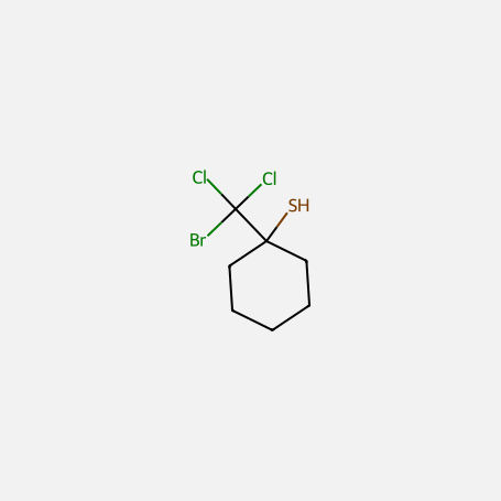 SC1(C(Cl)(Cl)Br)CCCCC1